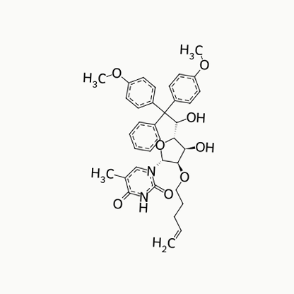 C=CCCCO[C@@H]1[C@H](O)[C@@H](C(O)C(c2ccccc2)(c2ccc(OC)cc2)c2ccc(OC)cc2)O[C@H]1n1cc(C)c(=O)[nH]c1=O